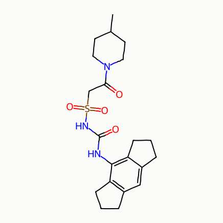 CC1CCN(C(=O)CS(=O)(=O)NC(=O)Nc2c3c(cc4c2CCC4)CCC3)CC1